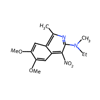 CCN(C)c1nc(C)c2cc(OC)c(OC)cc2c1[N+](=O)[O-]